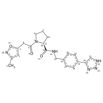 Cc1cc(CC(=O)N2CCC[C@H]2C(=O)NCc2ccc(-c3c[nH]nn3)cc2)on1